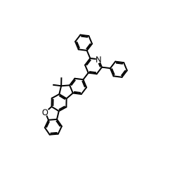 CC1(C)c2cc(-c3cc(-c4ccccc4)nc(-c4ccccc4)c3)ccc2-c2cc3c(cc21)oc1ccccc13